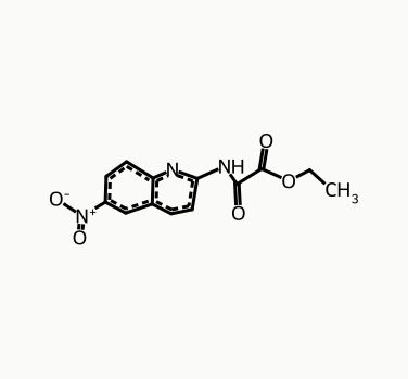 CCOC(=O)C(=O)Nc1ccc2cc([N+](=O)[O-])ccc2n1